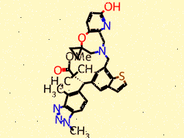 COC(=O)C(C)(C)[C@H](c1cc(CN2Cc3nc(O)ccc3OC3(CC3)C2)c2sccc2c1)c1ccc2c(nnn2C)c1C